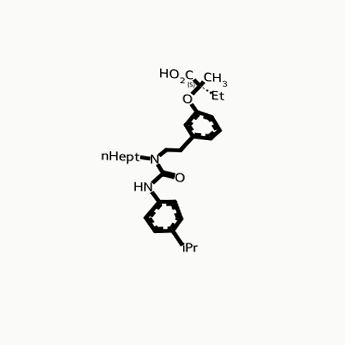 CCCCCCCN(CCc1cccc(O[C@@](C)(CC)C(=O)O)c1)C(=O)Nc1ccc(C(C)C)cc1